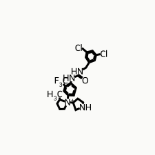 CC1CCC[N+]1(c1ccc(NC(=O)NCc2cc(Cl)cc(Cl)c2)c(C(F)(F)F)c1)C1CCNC1